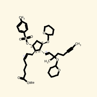 CC#CCCC(C)(/C=C/[C@@H]1[C@@H](C/C=C\CCCC(=O)OC)[C@H](OS(=O)(=O)c2ccc(C)cc2)C[C@H]1OC1CCCCO1)OC1CCCCO1